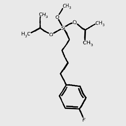 CO[Si](CCCCc1ccc(F)cc1)(OC(C)C)OC(C)C